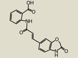 O=C(C=Cc1ccc2c(c1)OCC(=O)N2)Nc1ccccc1C(=O)O